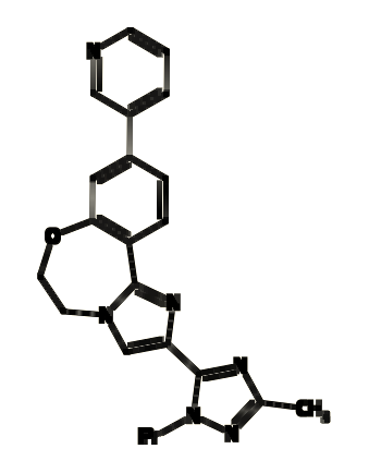 Cc1nc(-c2cn3c(n2)-c2ccc(-c4cccnc4)cc2OCC3)n(C(C)C)n1